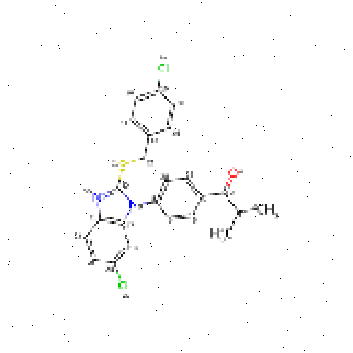 CC(C)C(=O)c1ccc(-n2c(SCc3ccc(Cl)cc3)nc3ccc(Cl)cc32)cc1